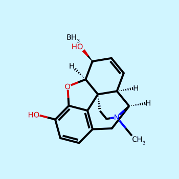 B.CN1CC[C@]23c4c5ccc(O)c4O[C@H]2[C@@H](O)C=C[C@H]3[C@H]1C5